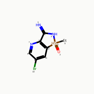 CC[SH]1(=O)NC(=N)c2ncc(Br)cc21